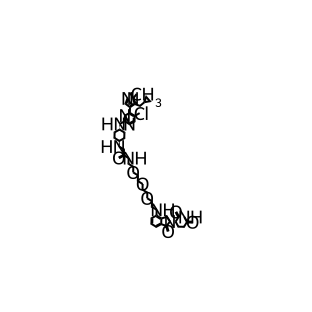 Cn1ncc(-c2nc(N[C@H]3CC[C@H](NCC(=O)NCCOCCOCCOCCNc4cccc5c4CN(C4CCC(=O)NC4=O)C5=O)CC3)ncc2Cl)c1CC1CC1